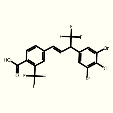 O=C(O)c1ccc(C=CC(c2cc(Br)c(Cl)c(Br)c2)C(F)(F)F)cc1C(F)(F)F